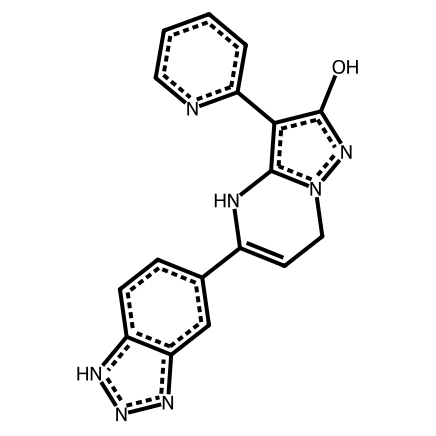 Oc1nn2c(c1-c1ccccn1)NC(c1ccc3[nH]nnc3c1)=CC2